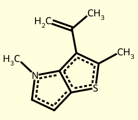 C=C(C)c1c(C)sc2ccn(C)c12